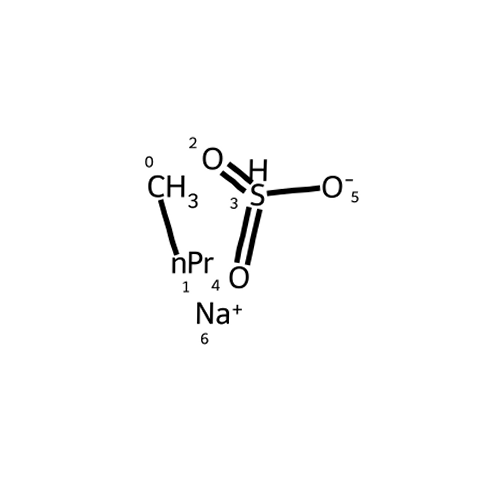 CCCC.O=[SH](=O)[O-].[Na+]